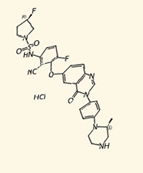 C[C@H]1CNCCN1c1ccc(-n2cnc3ccc(Oc4c(F)ccc(NS(=O)(=O)N5CC[C@@H](F)C5)c4C#N)cc3c2=O)cc1.Cl